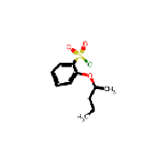 CCCC(C)Oc1ccccc1S(=O)(=O)Cl